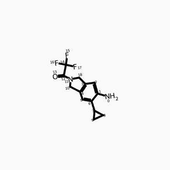 Nc1cc2c(cc1C1CC1)CN(C(=O)C(F)(F)F)C2